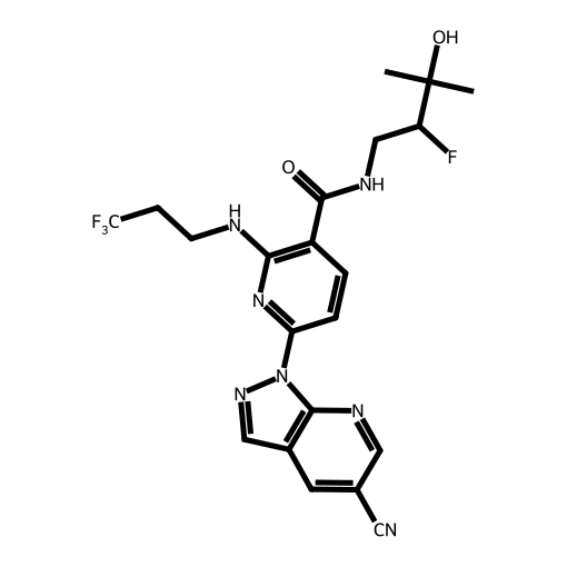 CC(C)(O)C(F)CNC(=O)c1ccc(-n2ncc3cc(C#N)cnc32)nc1NCCC(F)(F)F